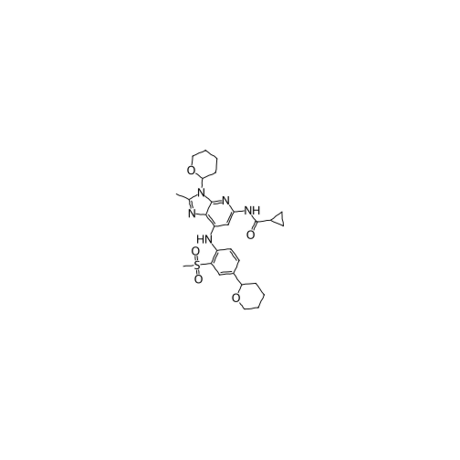 Cc1nc2c(Nc3ccc(C4CCCCO4)cc3S(C)(=O)=O)cc(NC(=O)C3CC3)nc2n1C1CCCCO1